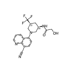 N#Cc1ccc(N2C[C@H](NC(=O)CO)C[C@H](C(F)(F)F)C2)c2cccnc12